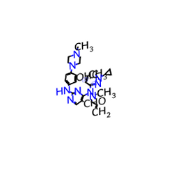 C=CCN(C)N(C(/C=C\C)=N/N(C=O)C1CC1)c1nc(Nc2ccc(N3CCN(C)CC3)cc2)ncc1C=O